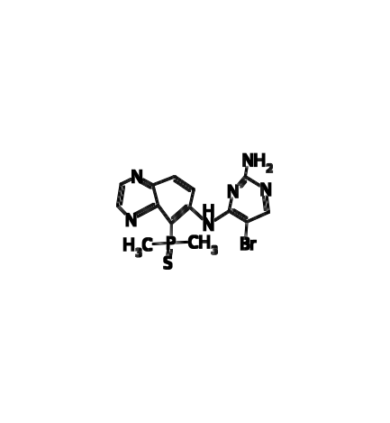 CP(C)(=S)c1c(Nc2nc(N)ncc2Br)ccc2nccnc12